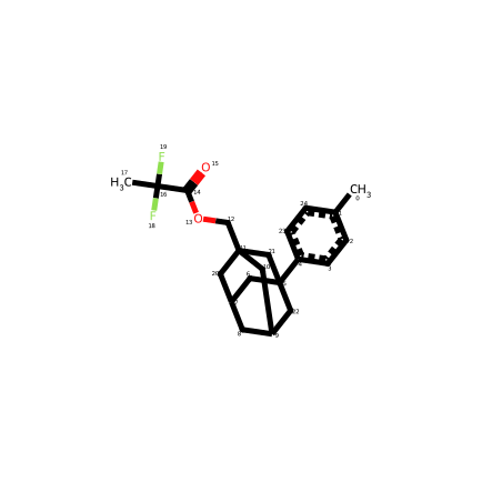 Cc1ccc(C23CC4CC(CC(COC(=O)C(C)(F)F)(C4)C2)C3)cc1